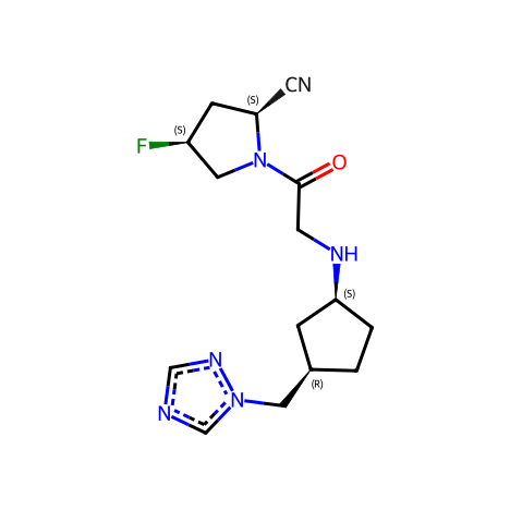 N#C[C@@H]1C[C@H](F)CN1C(=O)CN[C@H]1CC[C@@H](Cn2cncn2)C1